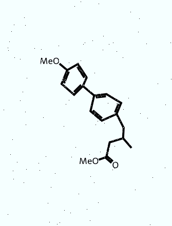 COC(=O)CC(C)Cc1ccc(-c2ccc(OC)cc2)cc1